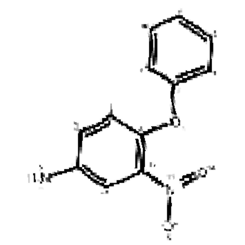 Nc1ccc(Oc2ccccc2)c([N+](=O)[O-])c1